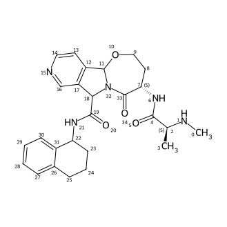 CN[C@@H](C)C(=O)N[C@H]1CCOC2c3ccncc3C(C(=O)NC3CCCc4ccccc43)N2C1=O